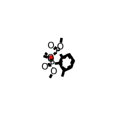 COP(=O)(OC)c1cccc(C)c1P(=O)(OC)OC